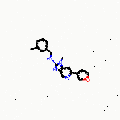 Cc1cccc(CNc2nc3cnc(-c4ccoc4)cc3n2C)c1